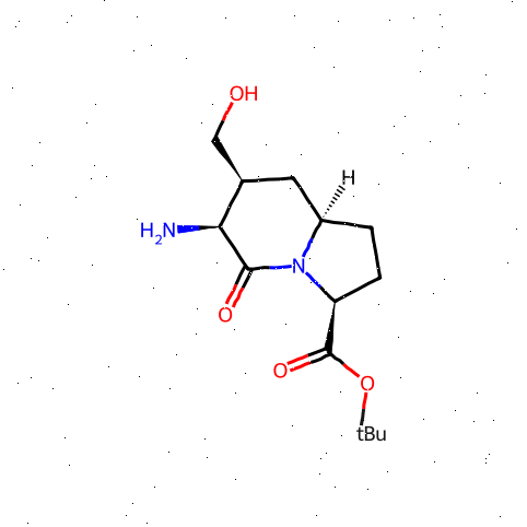 CC(C)(C)OC(=O)[C@@H]1CC[C@@H]2C[C@H](CO)[C@H](N)C(=O)N21